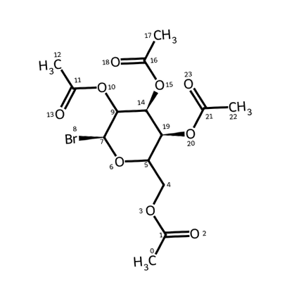 CC(=O)OCC1O[C@@H](Br)C(OC(C)=O)[C@@H](OC(C)=O)[C@H]1OC(C)=O